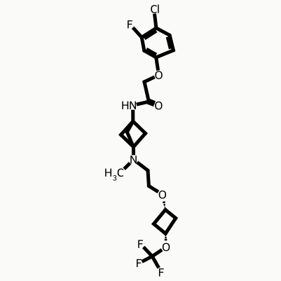 CN(CCO[C@H]1C[C@@H](OC(F)(F)F)C1)C12CC(NC(=O)COc3ccc(Cl)c(F)c3)(C1)C2